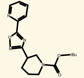 CC(C)(C)OC(=O)N1CCCC(c2noc(-c3ccccn3)n2)C1